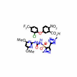 COc1cc(OC)nc(NC(=O)NS(=O)(=O)c2c(-c3nnn(C)n3)cnn2C)n1.O=C(O)c1cc(Oc2ccc(C(F)(F)F)cc2Cl)ccc1[N+](=O)[O-]